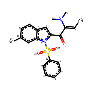 CN(C)C(=CC#N)C(=O)c1cc2ccc(C#N)cc2n1S(=O)(=O)c1ccccc1